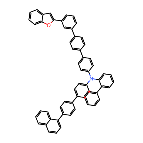 c1ccc(-c2ccccc2N(c2ccc(-c3ccc(-c4cccc(-c5cc6ccccc6o5)c4)cc3)cc2)c2ccc(-c3ccc(-c4cccc5ccccc45)cc3)cc2)cc1